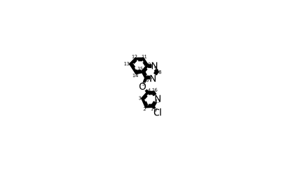 Clc1ccc(Oc2ncnc3ccccc23)cn1